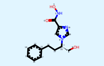 O=C(NO)c1cn([C@H](CO)CCc2ccccc2)cn1